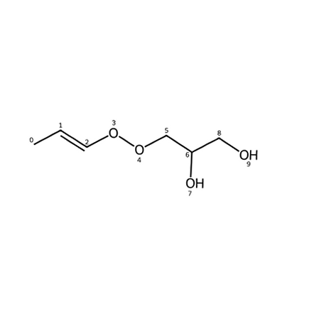 CC=COOCC(O)CO